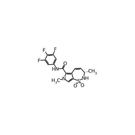 C[C@H]1C=Cc2c(cn(C)c2C(=O)Nc2cc(F)c(F)c(F)c2)S(=O)(=O)N1